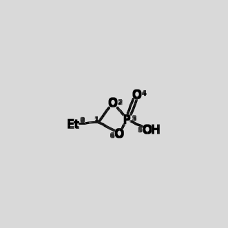 CCC1OP(=O)(O)O1